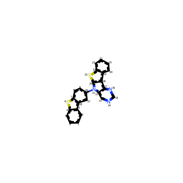 c1ccc2c(c1)sc1ccc(-n3c4cncnc4c4c5ccccc5sc43)cc12